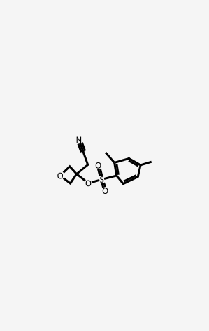 Cc1ccc(S(=O)(=O)OC2(CC#N)COC2)c(C)c1